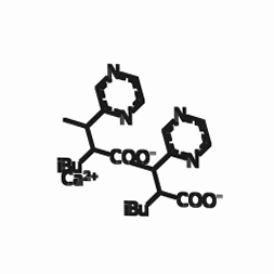 CCC(C)C(C(=O)[O-])C(C)c1cnccn1.CCC(C)C(C(=O)[O-])C(C)c1cnccn1.[Ca+2]